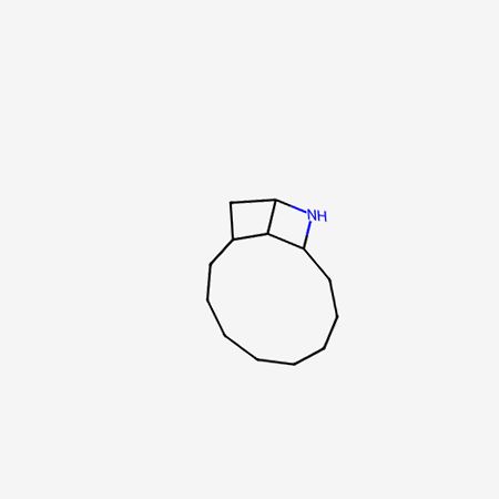 C1CCCCC2NC3CC(CCC1)C23